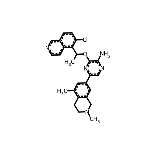 Cc1cc(-c2cnc(N)c(OC(C)c3c(Cl)ccc4cnccc34)n2)cc2c1CCN(C)C2